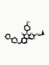 O=c1c2cc(CN3CCC(N4CCCC4)CC3)ccc2c2cnc(NCC3CC3)nc2n1C1CCC(O)CC1